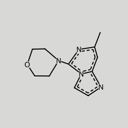 Cc1cc2nccn2c(N2CCOCC2)n1